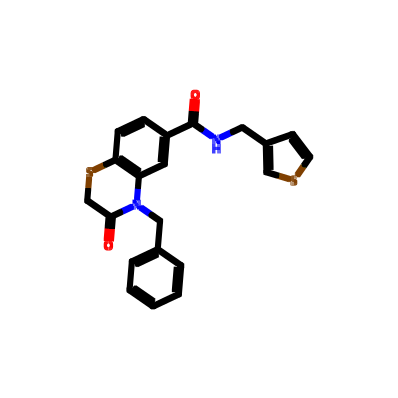 O=C(NCc1ccsc1)c1ccc2c(c1)N(Cc1ccccc1)C(=O)CS2